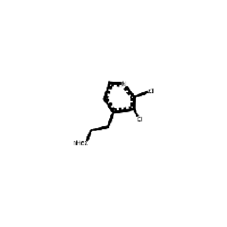 CCCCCCCCc1ccnc(Cl)c1Cl